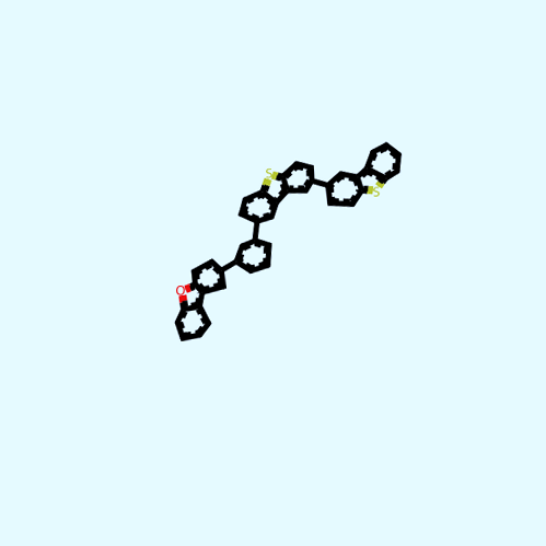 c1cc(-c2ccc3oc4ccccc4c3c2)cc(-c2ccc3sc4ccc(-c5ccc6sc7ccccc7c6c5)cc4c3c2)c1